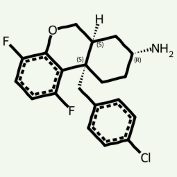 N[C@@H]1CC[C@@]2(Cc3ccc(Cl)cc3)c3c(F)ccc(F)c3OC[C@H]2C1